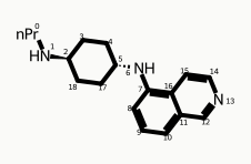 CCCN[C@H]1CC[C@H](Nc2cccc3cnccc23)CC1